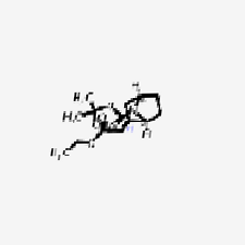 CCOC(=O)/C=C1\C[C@H]2CC[C@@H]1N2C(=O)OC(C)(C)C